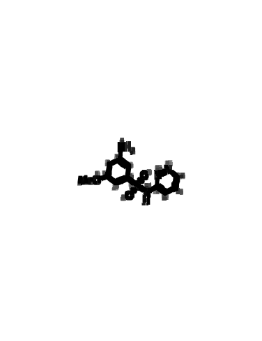 COc1cc(N)cc(S(=O)(=O)Nc2cccnn2)c1